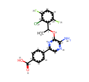 CC(Oc1nc(-c2ccc(C(=O)O)cc2)cnc1N)c1c(F)ccc(F)c1Cl